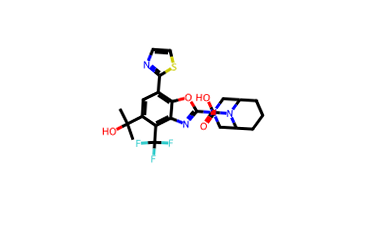 CC(C)(O)c1cc(-c2nccs2)c2oc(N3CC4CCCC(C3)N4C(=O)O)nc2c1C(F)(F)F